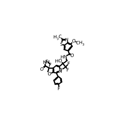 COc1cc(C(=O)NCC(O)(c2cc3c(c(-c4ccc(F)cc4)n2)OC[C@]3(CF)C(N)=O)C(F)(F)F)cc2sc(C)nc12